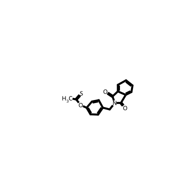 CC(=S)Oc1ccc(CN2C(=O)c3ccccc3C2=O)cc1